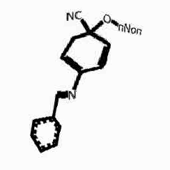 CCCCCCCCCOC1(C#N)C=CC(N=Cc2ccccc2)=CC1